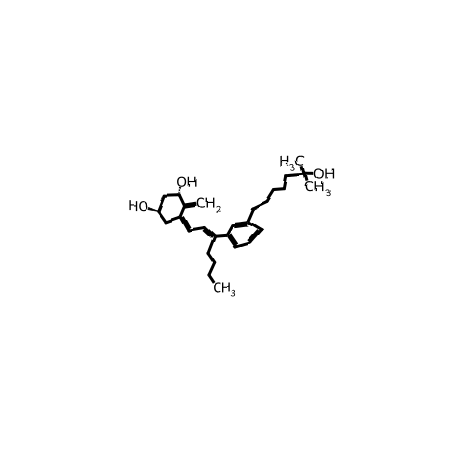 C=C1/C(=C\C=C(/CCCC)c2cccc(CCCCCC(C)(C)O)c2)C[C@@H](O)C[C@@H]1O